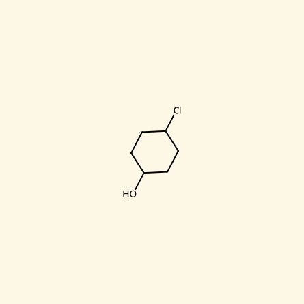 OC1C[CH]C(Cl)CC1